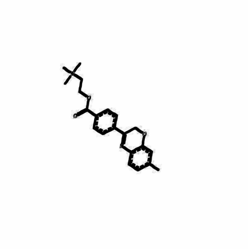 Cc1ccc2c(c1)OCC(c1ccc(C(=O)OCC[Si](C)(C)C)cc1)=N2